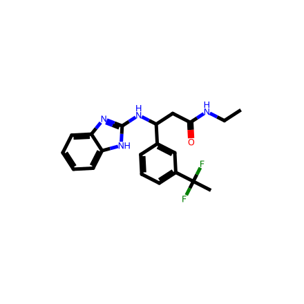 CCNC(=O)CC(Nc1nc2ccccc2[nH]1)c1cccc(C(C)(F)F)c1